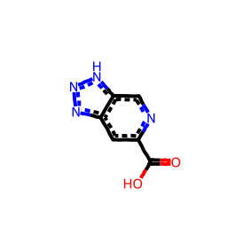 O=C(O)c1cc2nn[nH]c2cn1